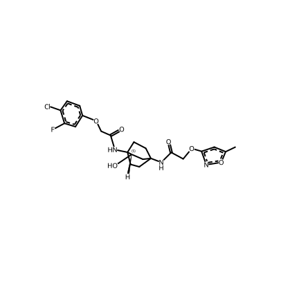 Cc1cc(OCC(=O)NC23CCC(NC(=O)COc4ccc(Cl)c(F)c4)(CC2)[C@@H](O)C3)no1